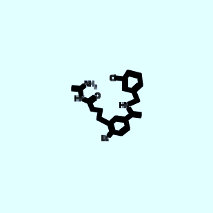 C=C(N)NC(=O)CCCc1cc(C(=C)NCc2cccc(Cl)c2)ccc1CC